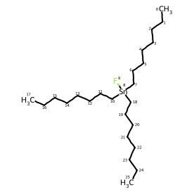 CCCCCCC[CH2][Sn]([F])([CH2]CCCCCCC)[CH2]CCCCCCC